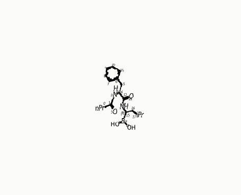 CCCC(=O)N[C@@H](Cc1ccccc1)C(=O)N[C@@H](CC(C)C)B(O)O